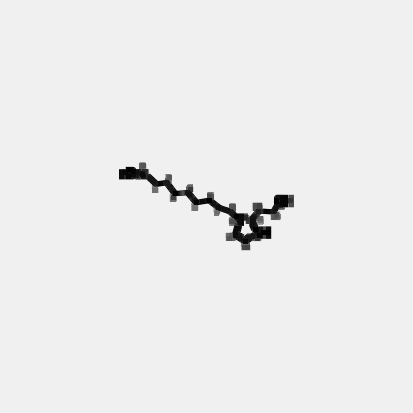 CCCCCCCCCCCCCCCCCC[n+]1cc[nH]c1CCO